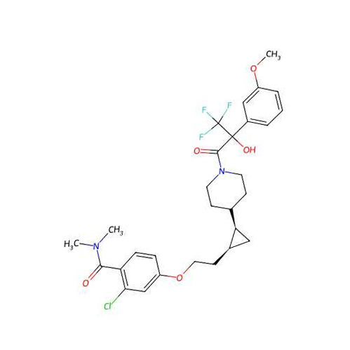 COc1cccc(C(O)(C(=O)N2CCC([C@H]3C[C@H]3CCOc3ccc(C(=O)N(C)C)c(Cl)c3)CC2)C(F)(F)F)c1